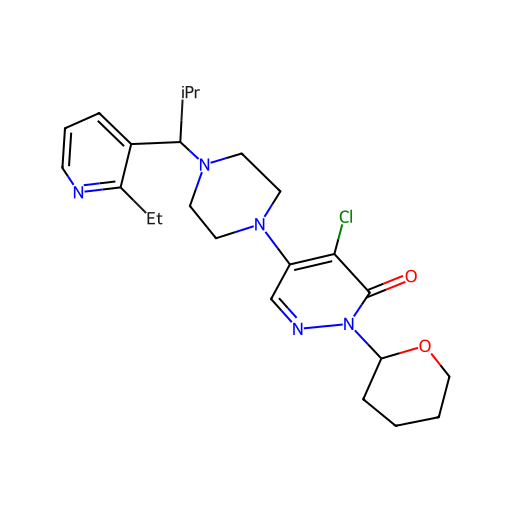 CCc1ncccc1C(C(C)C)N1CCN(c2cnn(C3CCCCO3)c(=O)c2Cl)CC1